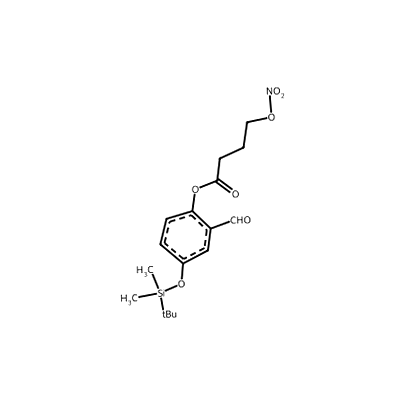 CC(C)(C)[Si](C)(C)Oc1ccc(OC(=O)CCCO[N+](=O)[O-])c(C=O)c1